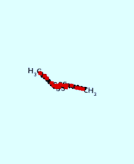 CCCCCCCCCCCCc1cc2sc3c(sc4c5sc(CCCCCCCCCCCC)cc5sc43)c2s1